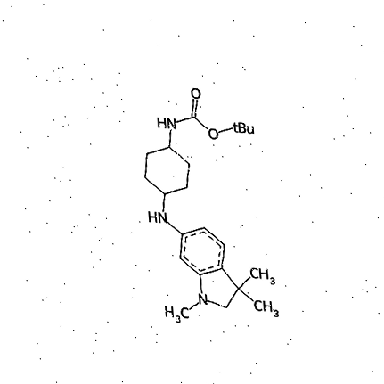 CN1CC(C)(C)c2ccc(NC3CCC(NC(=O)OC(C)(C)C)CC3)cc21